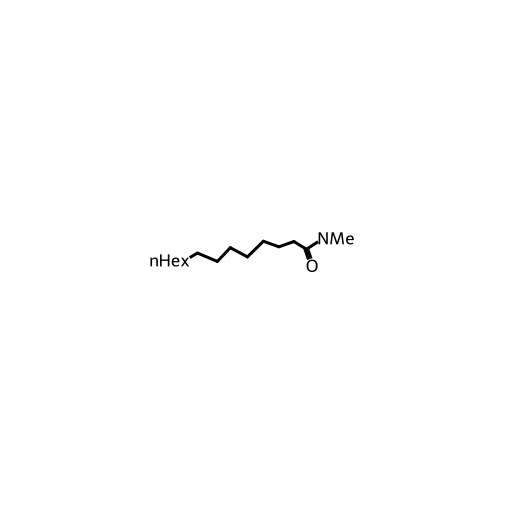 [CH2]NC(=O)CCCCCCCCCCCCC